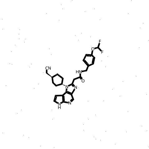 N#CC[C@H]1CC[C@H](n2c(CC(=O)NCc3ccc(OC(F)F)cc3)nc3cnc4[nH]ccc4c32)CC1